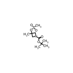 CC(C)(C)OC(=O)N1CC(C)(OS(C)(=O)=O)C1